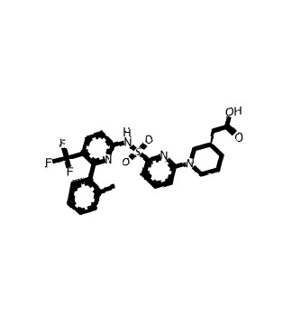 Cc1ccccc1-c1nc(NS(=O)(=O)c2cccc(N3CCC[C@H](CC(=O)O)C3)n2)ccc1C(F)(F)F